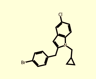 Clc1ccc2c(c1)cc(Cc1ccc(Br)cc1)n2CC1CC1